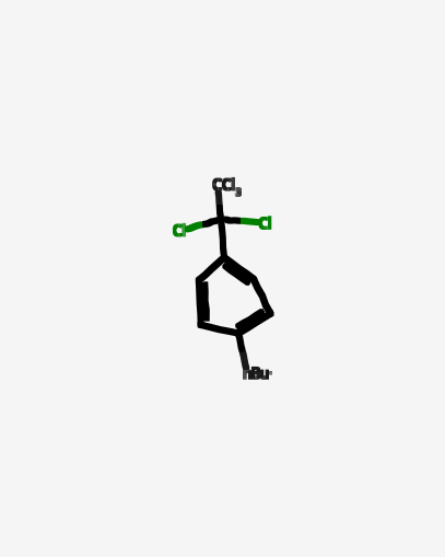 CCC[CH]c1ccc(C(Cl)(Cl)C(Cl)(Cl)Cl)cc1